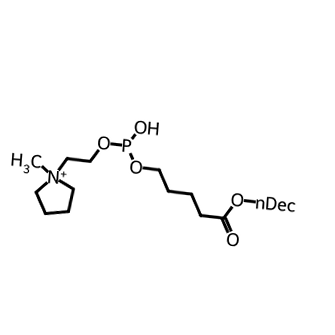 CCCCCCCCCCOC(=O)CCCCOP(O)OCC[N+]1(C)CCCC1